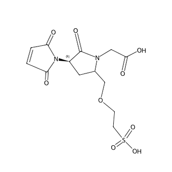 O=C(O)CN1C(=O)[C@H](N2C(=O)C=CC2=O)CC1COCCS(=O)(=O)O